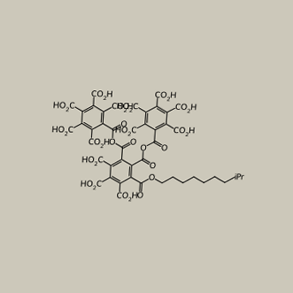 CC(C)CCCCCCCOC(=O)c1c(C(=O)O)c(C(=O)O)c(C(=O)O)c(C(=O)OC(=O)c2c(C(=O)O)c(C(=O)O)c(C(=O)O)c(C(=O)O)c2C(=O)O)c1C(=O)OC(=O)c1c(C(=O)O)c(C(=O)O)c(C(=O)O)c(C(=O)O)c1C(=O)O